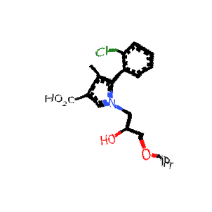 Cc1c(C(=O)O)cn(CC(O)COC(C)C)c1-c1ccccc1Cl